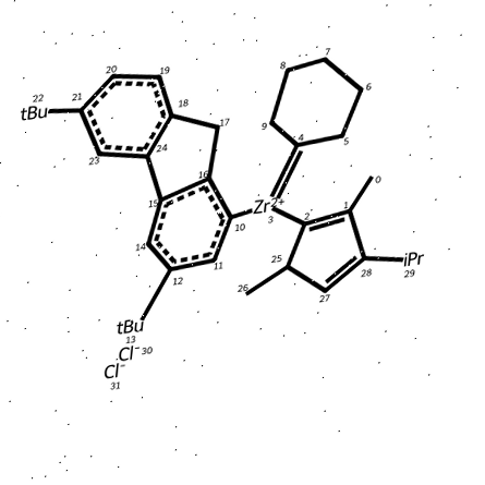 CC1=[C]([Zr+2](=[C]2CCCCC2)[c]2cc(C(C)(C)C)cc3c2Cc2ccc(C(C)(C)C)cc2-3)C(C)C=C1C(C)C.[Cl-].[Cl-]